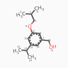 CC(C)COc1cc([CH]O)cc(C(C)C)c1